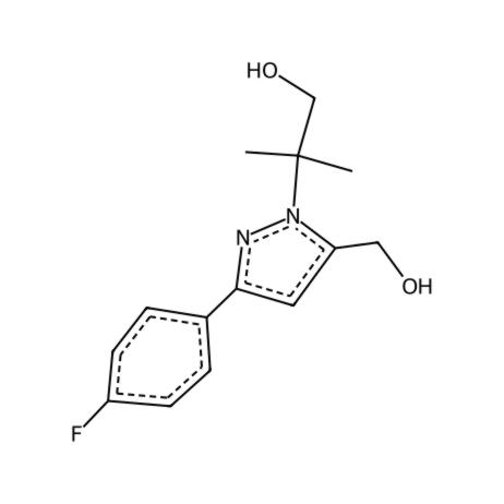 CC(C)(CO)n1nc(-c2ccc(F)cc2)cc1CO